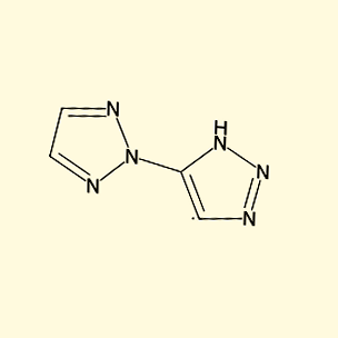 [c]1nn[nH]c1-n1nccn1